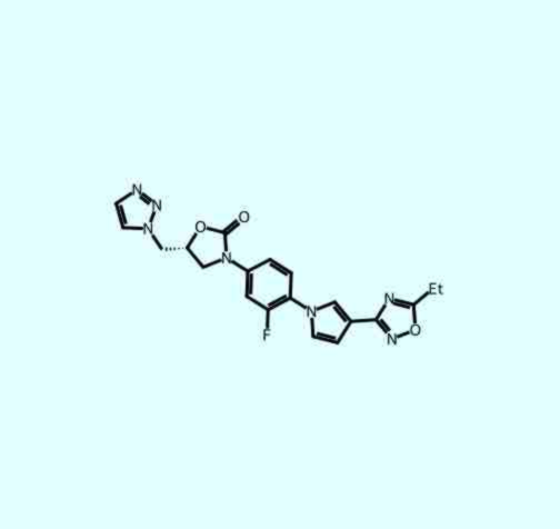 CCc1nc(-c2ccn(-c3ccc(N4C[C@H](Cn5ccnn5)OC4=O)cc3F)c2)no1